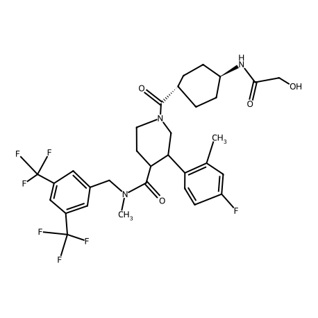 Cc1cc(F)ccc1C1CN(C(=O)[C@H]2CC[C@H](NC(=O)CO)CC2)CCC1C(=O)N(C)Cc1cc(C(F)(F)F)cc(C(F)(F)F)c1